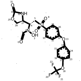 O=CN(O)[C@@H](CS(=O)(=O)c1ccc(Oc2ccc(OC(F)(F)F)cc2)cc1)[C@H]1COC(=O)N1